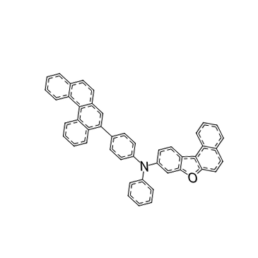 c1ccc(N(c2ccc(-c3cc4ccc5ccccc5c4c4ccccc34)cc2)c2ccc3c(c2)oc2ccc4ccccc4c23)cc1